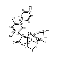 CO[C@H]1CCC[C@@]2(C1)OC(=O)C(c1cc(-c3ccc(Cl)cc3)c(C)cc1C)=C2OC(=O)OC(C)C